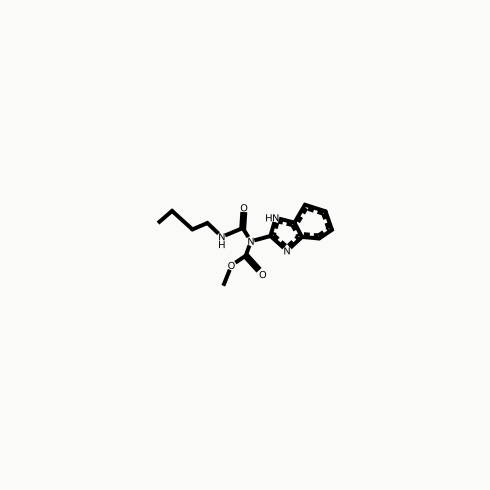 CCCCNC(=O)N(C(=O)OC)c1nc2ccccc2[nH]1